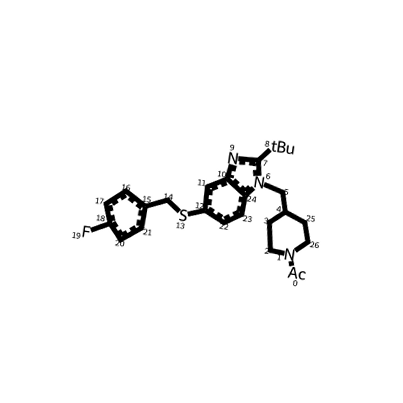 CC(=O)N1CCC(Cn2c(C(C)(C)C)nc3cc(SCc4ccc(F)cc4)ccc32)CC1